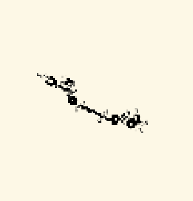 Cc1ccc(NS(=O)(=O)c2ccc(CNC(=O)CCCCCCC(=O)Nc3ccc(CNc4nc(OC5CCN(C)CC5)nc5c(C(C)C)cnn45)cc3)cc2)c2[nH]cc(C#N)c12